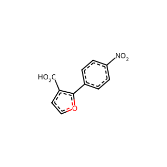 O=C(O)c1ccoc1-c1ccc([N+](=O)[O-])cc1